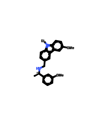 CCn1c2ccc(CN[C@H](C)c3cccc(OC)c3)cc2c2cc(OC)ccc21